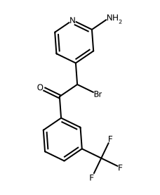 Nc1cc(C(Br)C(=O)c2cccc(C(F)(F)F)c2)ccn1